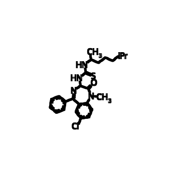 CC(C)CCCC(C)NC(=S)NC1N=C(c2ccccc2)c2cc(Cl)ccc2N(C)C1=O